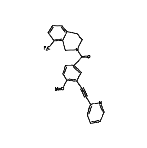 COc1ccc(C(=O)N2CCc3cccc(C(F)(F)F)c3C2)cc1C#Cc1ccccn1